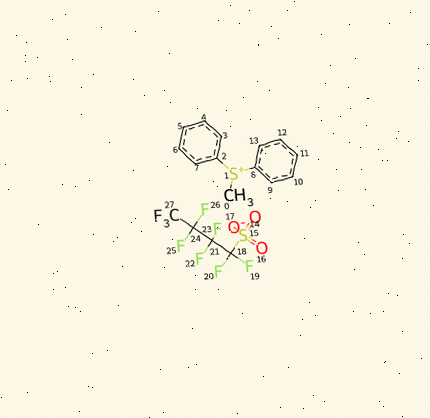 C[S+](c1ccccc1)c1ccccc1.O=S(=O)([O-])C(F)(F)C(F)(F)C(F)(F)C(F)(F)F